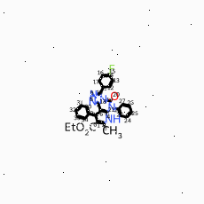 CCOC(=O)C1=C(C)Nc2c(c3nnc(C4C=CC(F)=CC4)n3c(=O)n2-c2ccccc2)C1c1ccccc1